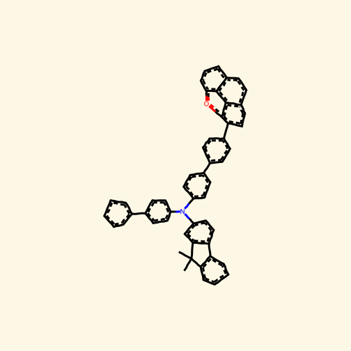 CC1(C)c2ccccc2-c2ccc(N(c3ccc(-c4ccccc4)cc3)c3ccc(-c4ccc(-c5ccc6ccc7cccc8oc5c6c78)cc4)cc3)cc21